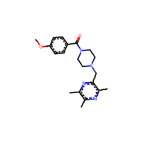 COc1ccc(C(=O)N2CCN(Cc3nc(C)c(C)nc3C)CC2)cc1